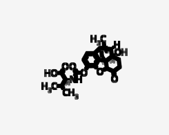 CC(C)[C@@H](NC(=O)Oc1ccc2c3c1OC1C(=O)CC[C@@]4(O)[C@@H](C2)N(C)CC[C@]314)C(=O)O